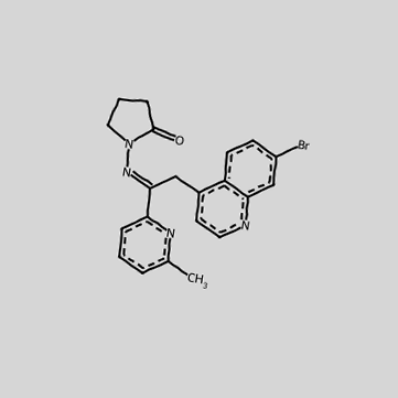 Cc1cccc(/C(Cc2ccnc3cc(Br)ccc23)=N/N2CCCC2=O)n1